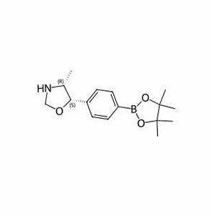 C[C@H]1NCO[C@H]1c1ccc(B2OC(C)(C)C(C)(C)O2)cc1